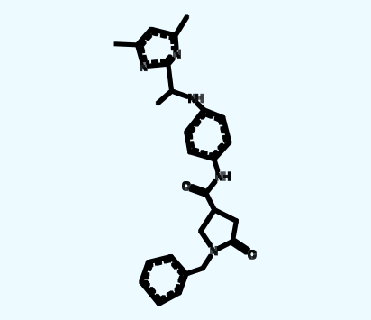 Cc1cc(C)nc(C(C)Nc2ccc(NC(=O)C3CC(=O)N(Cc4ccccc4)C3)cc2)n1